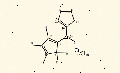 CC1=C(C)C(C)(C)[C]([Zr+2]([CH3])[C]2=CC=CC2)=C1C.[Cl-].[Cl-]